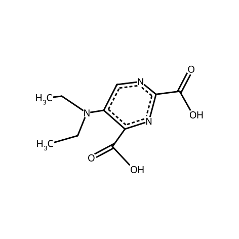 CCN(CC)c1cnc(C(=O)O)nc1C(=O)O